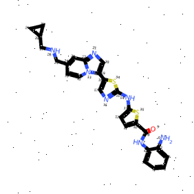 Nc1ccccc1NC(=O)c1ccc(Nc2ncc(-c3cnc4cc(CNCC5CC5)ccn34)s2)s1